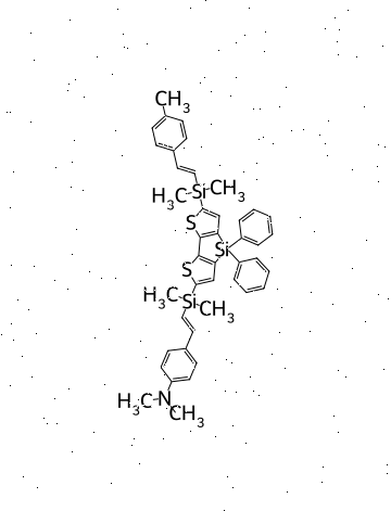 Cc1ccc(/C=C/[Si](C)(C)c2cc3c(s2)-c2sc([Si](C)(C)/C=C/c4ccc(N(C)C)cc4)cc2[Si]3(c2ccccc2)c2ccccc2)cc1